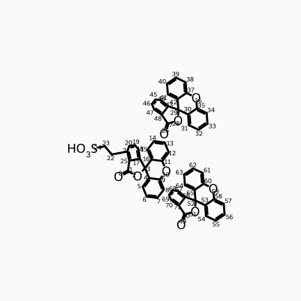 O=C1OC2(c3ccccc3Oc3ccccc32)c2cccc(CCS(=O)(=O)O)c21.O=C1OC2(c3ccccc3Oc3ccccc32)c2ccccc21.O=C1OC2(c3ccccc3Oc3ccccc32)c2ccccc21